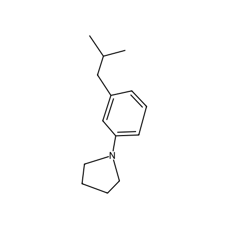 CC(C)Cc1cccc(N2CCCC2)c1